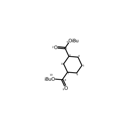 CC(C)COC(=O)C1CCCC(C(=O)OCC(C)C)C1